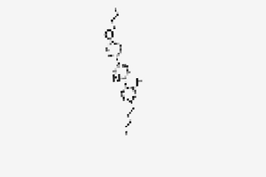 CCCCCc1ccc(-c2ccc(-c3ccc(OCCCC)cc3)cn2)c(F)c1